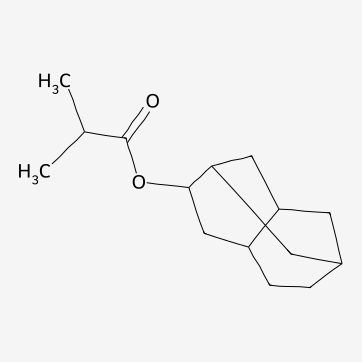 CC(C)C(=O)OC1CC2CCC3CC2CC1C3